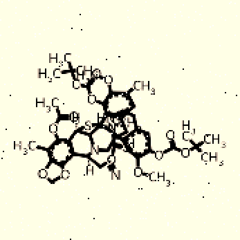 COc1cc2c(cc1OC(=O)OC(C)(C)C)CCN[C@]21CS[C@@H]2c3c(OC(C)=O)c(C)c4c(c3[C@H](COC1=O)N1C2C2c3c(cc(C)c(OC)c3OC(=O)OC(C)(C)C)C[C@H]([C@@H]1C#N)N2C)OCO4